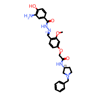 COc1cc(OCC(=O)N[C@H]2CCN(Cc3ccccc3)C2)ccc1/C=N/NC(=O)c1ccc(O)c(N)c1